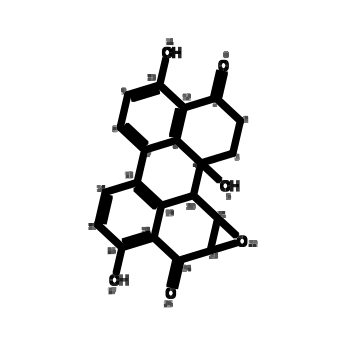 O=C1CCC2(O)c3c(ccc(O)c31)-c1ccc(O)c3c1C2C1OC1C3=O